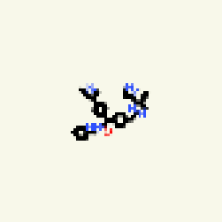 C#Cc1cnc(CC2CCC(C(C(=O)NCc3ccccc3)c3ccc(C4=CC(C)N=C4)cc3)CC2)nc1-c1ccnn1C